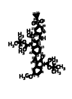 COc1ccc2c(c1)[C@]1(C[C@H]1c1ccc3c(Nc4ncc(S(=O)(=O)C5CC5)cc4OC)nn(C(=O)OC(C)(C)C)c3c1)C(=O)N2C(=O)OC(C)(C)C